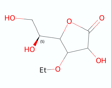 CCOC1C(O)C(=O)OC1[C@@H](O)CO